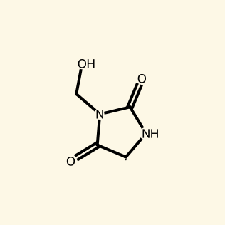 O=C1[CH]NC(=O)N1CO